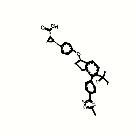 Cc1nc(-c2ccc(-c3c(C(F)(F)F)ccc4c3CC[C@H]4Oc3ccc([C@H]4C[C@@H]4C(=O)O)cc3)cc2)no1